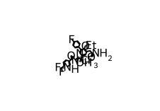 CCOc1c(CC(N)=O)cc([C@@](O)(CNC(=O)c2ccc(C(F)F)nc2)C(F)(F)F)nc1-c1ccc(F)cc1